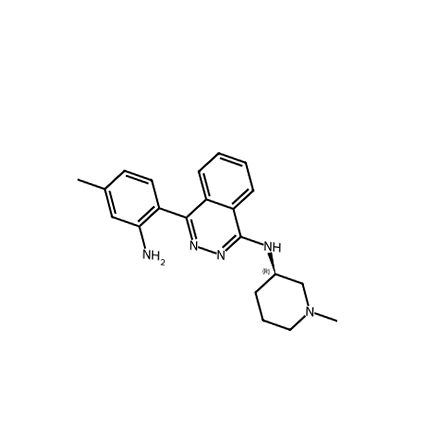 Cc1ccc(-c2nnc(N[C@@H]3CCCN(C)C3)c3ccccc23)c(N)c1